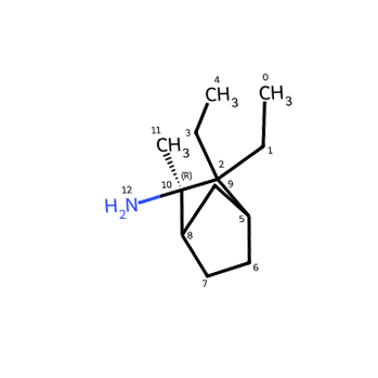 CCC1(CC)C2CCC(C2)[C@@]1(C)N